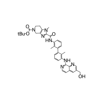 Cc1c(NC(=O)c2nc3c(n2C)CCN(C(=O)OC(C)(C)C)C3)cccc1-c1cccc(Nc2nccc3cc(CO)cnc23)c1C